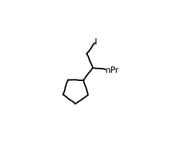 CCCC(CI)C1CCCC1